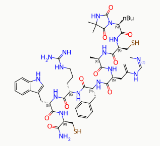 C=C(C[C@H](NC(=O)[C@@H](C)NC(=O)[C@H](CS)NC(=O)[C@H](CCCC)N1C(=O)NC(C)(C)C1=O)C(=O)N[C@H](Cc1ccccc1)C(=O)N[C@@H](CCCNC(=N)N)C(=O)N[C@@H](Cc1c[nH]c2ccccc12)C(=O)N[C@@H](CS)C(N)=O)N/C=N\C